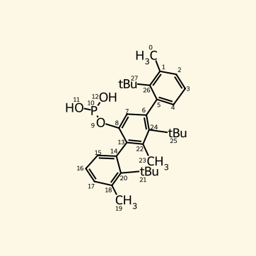 Cc1cccc(-c2cc(OP(O)O)c(-c3cccc(C)c3C(C)(C)C)c(C)c2C(C)(C)C)c1C(C)(C)C